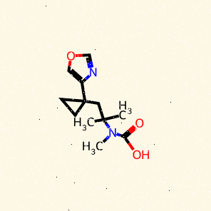 CN(C(=O)O)C(C)(C)CC1(c2cocn2)CC1